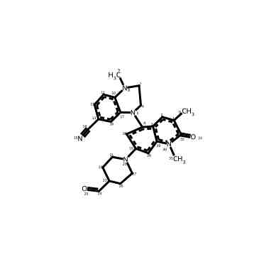 Cc1cc2c(N3CCN(C)c4ccc(C#N)cc43)cc(N3CCC(C=O)CC3)cc2n(C)c1=O